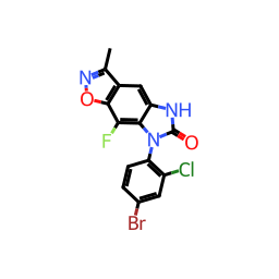 Cc1noc2c(F)c3c(cc12)[nH]c(=O)n3-c1ccc(Br)cc1Cl